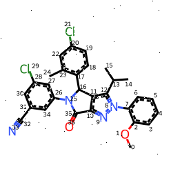 COc1ccccc1-n1nc2c(c1C(C)C)C(c1ccc(Cl)cc1C)N(c1cc(Cl)cc(C#N)c1)C2=O